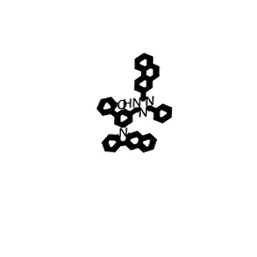 c1ccc(C2=NC(c3ccc4c(ccc5ccccc54)c3)NC(c3cc(-n4c5ccccc5c5cc6ccccc6cc54)cc4c3oc3ccccc34)=N2)cc1